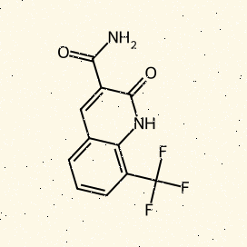 NC(=O)c1cc2cccc(C(F)(F)F)c2[nH]c1=O